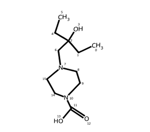 CCC(O)(CC)CN1CCN(C(=O)O)CC1